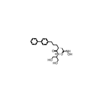 O=C(C[C@@H](CCCc1ccc(-c2ccccc2)cc1)C(=O)NC(CO)CO)NO